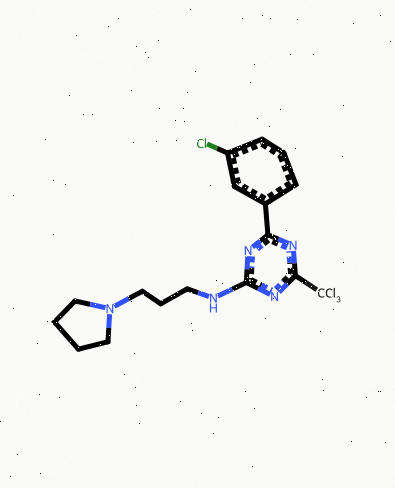 Clc1cccc(-c2nc(NCCCN3CCCC3)nc(C(Cl)(Cl)Cl)n2)c1